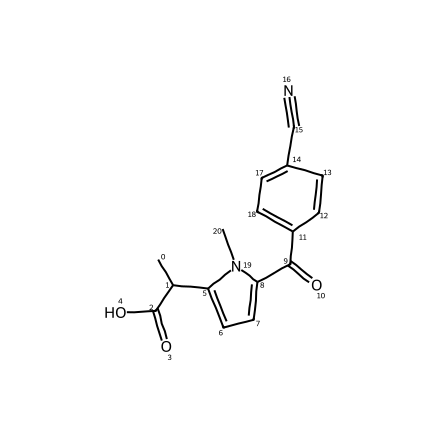 CC(C(=O)O)c1ccc(C(=O)c2ccc(C#N)cc2)n1C